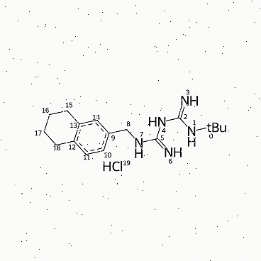 CC(C)(C)NC(=N)NC(=N)NCc1ccc2c(c1)CCCC2.Cl